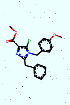 COC(=O)c1nc(Cc2ccccc2)n(Cc2ccc(OC)cc2)c1Br